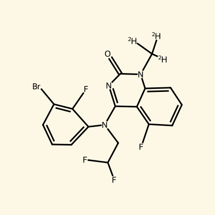 [2H]C([2H])([2H])n1c(=O)nc(N(CC(F)F)c2cccc(Br)c2F)c2c(F)cccc21